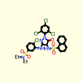 CCN(CC)S(=O)(=O)c1ccc(Cl)c(NC2=NN(c3c(Cl)cc(Cl)cc3Cl)C(=O)C2NS(=O)(=O)c2cccc3ccccc23)c1